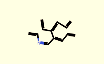 C=CC=C(/C=N\C=C)/C(C=C)=C\C=C